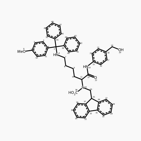 COc1ccc(C(NCCCCC(C(=O)Nc2ccc(CO)cc2)N(CC2c3ccccc3-c3ccccc32)C(=O)O)(c2ccccc2)c2ccccc2)cc1